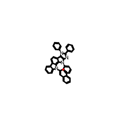 c1ccc(-c2nc3c(c4ccc5c6ccccc6n(-c6ccc7ccccc7c6)c5c4n3-c3ccccc3)n2-c2ccccc2)cc1